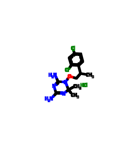 CC(CON1C(N)=NC(N)=NC1(C)C)c1ccc(Cl)cc1Cl.Cl